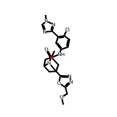 COCc1nnc(C23CC(C)CC(C2)N3C(=O)Nc2ccc(Cl)c(-c3ncn(C)n3)c2)o1